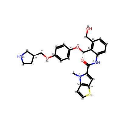 Cn1c(C(=O)Nc2cccc(CO)c2COc2ccc(OC[C@H]3CCNC3)cc2)cc2sccc21